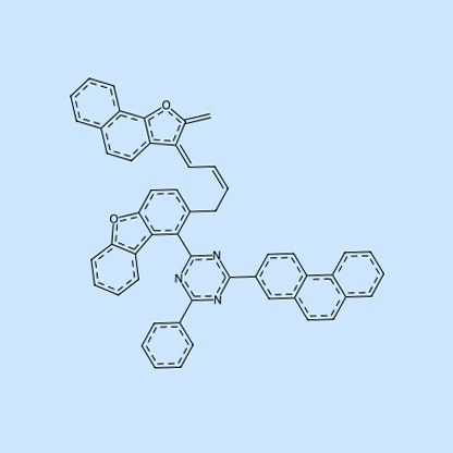 C=c1oc2c(ccc3ccccc32)/c1=C/C=C\Cc1ccc2oc3ccccc3c2c1-c1nc(-c2ccccc2)nc(-c2ccc3c(ccc4ccccc43)c2)n1